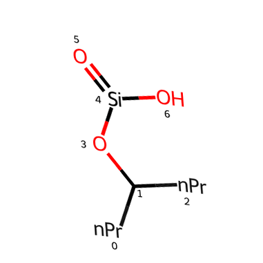 CCCC(CCC)O[Si](=O)O